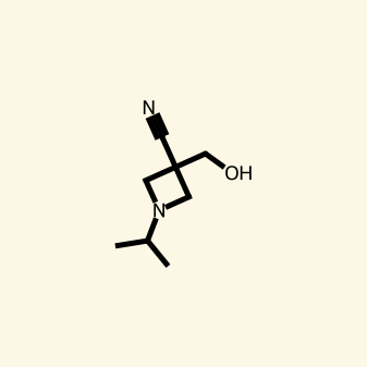 CC(C)N1CC(C#N)(CO)C1